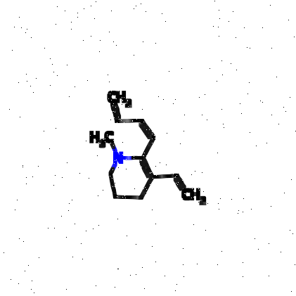 C=C/C=C\C1=C(C=C)CCCN1C